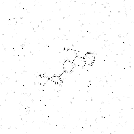 CCC(c1ccccc1)N1CCN(C(=O)OC(C)(C)C)CC1